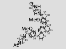 COc1nc(-c2cccc(-c3cccc(-c4cc5c(c(OC)n4)[C@@H](NC[C@@H]4CCC(=O)N4)CC5)c3F)c2F)cnc1CN1CC2(C1)CN(C(C)=O)C2